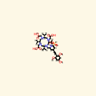 COc1cc(OC)c(C#Cc2cc(CN3C[C@H](C(C)C)N(CC(=O)O)C[C@H](C(C)C)N(CC(=O)O)C[C@H](C(C)C)N(CC(=O)O)C[C@@H]3C(C)C)nc(P(C)(=O)O)c2)c(OC)c1